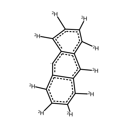 [2H]c1c([2H])c([2H])c2c([2H])c3c([2H])c([2H])c([2H])c([2H])c3[c]c2c1[2H]